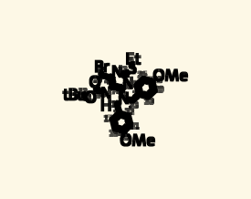 CCSc1nc(CBr)c(NC(=O)OC(C)(C)C)c(N(Cc2ccc(OC)cc2)Cc2ccc(OC)cc2)n1